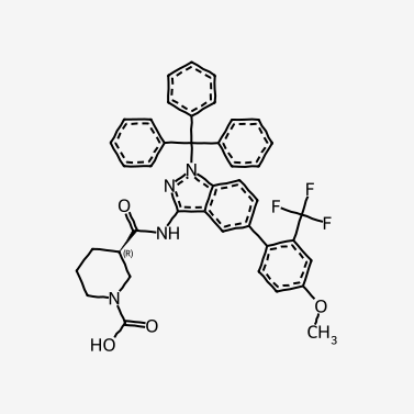 COc1ccc(-c2ccc3c(c2)c(NC(=O)[C@@H]2CCCN(C(=O)O)C2)nn3C(c2ccccc2)(c2ccccc2)c2ccccc2)c(C(F)(F)F)c1